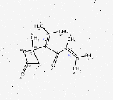 B/C(C)=C(\C)C(=O)/C(=C(/C)C=O)[C@]1(C)CC(=O)O1